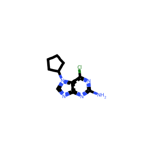 Nc1nc(Cl)c2c(ncn2C2CCCC2)n1